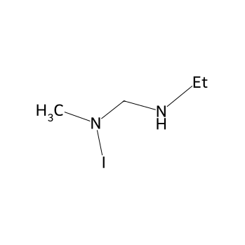 CCNCN(C)I